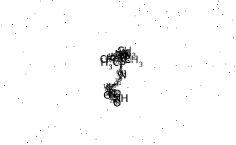 Cc1c(C#Cc2ccc(CCCC#Cc3cccc4c3CN(C3CCC(=O)NC3=O)C4=O)nc2)sc2c1C(c1ccc(Cl)cc1)=N[C@@H](C)c1nnc(C)n1-2